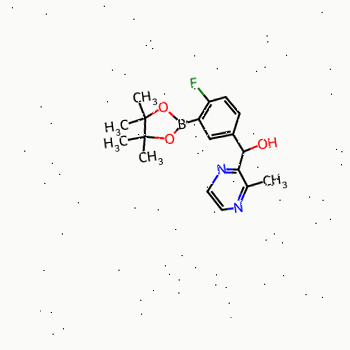 Cc1nccnc1C(O)c1ccc(F)c(B2OC(C)(C)C(C)(C)O2)c1